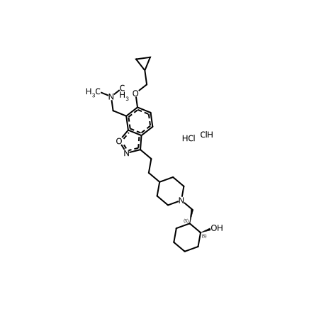 CN(C)Cc1c(OCC2CC2)ccc2c(CCC3CCN(C[C@@H]4CCCC[C@@H]4O)CC3)noc12.Cl.Cl